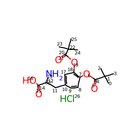 CC(C)(C)C(=O)Oc1ccc(C[C@H](N)C(=O)O)cc1OC(=O)C(C)(C)C.Cl